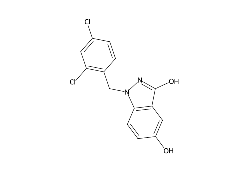 Oc1ccc2c(c1)c(O)nn2Cc1ccc(Cl)cc1Cl